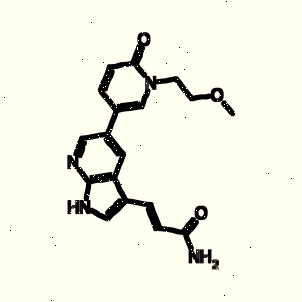 COCCn1cc(-c2cnc3[nH]cc(/C=C/C(N)=O)c3c2)ccc1=O